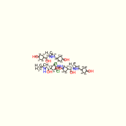 CC(C)(C)NCC(O)c1cc(Cl)c(N)c(Cl)c1.CC(CCc1ccc(O)cc1)NCC(O)c1ccc(O)cc1.CC(CCc1ccc(O)cc1)NCC(O)c1ccc(O)cc1